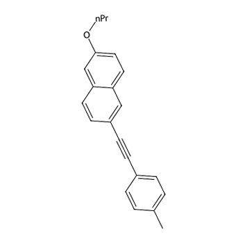 CCCOc1ccc2cc(C#Cc3ccc(C)cc3)ccc2c1